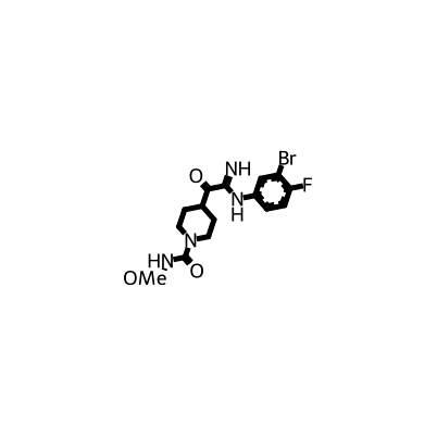 CONC(=O)N1CCC(C(=O)C(=N)Nc2ccc(F)c(Br)c2)CC1